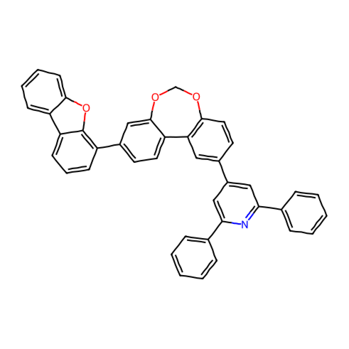 c1ccc(-c2cc(-c3ccc4c(c3)-c3ccc(-c5cccc6c5oc5ccccc56)cc3OCO4)cc(-c3ccccc3)n2)cc1